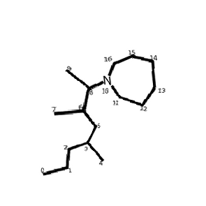 CCCC(C)CC(C)C(C)N1CCCCCC1